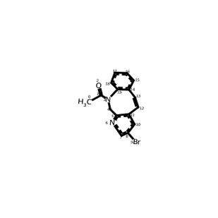 CC(=O)N1Cc2ncc(Br)cc2/C=C\c2ccccc21